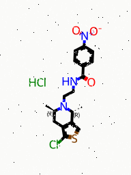 C[C@@H]1Cc2c(csc2Cl)[C@@H](C)N1CCNC(=O)c1ccc([N+](=O)[O-])cc1.Cl